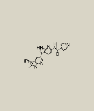 Cc1nc2ncc(-c3c[nH]c4nc(NC(=O)c5ccncc5)ccc34)cc2n1C(C)C